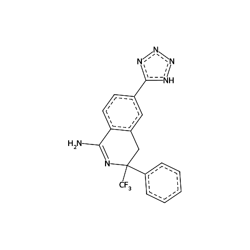 NC1=NC(c2ccccc2)(C(F)(F)F)Cc2cc(-c3nnn[nH]3)ccc21